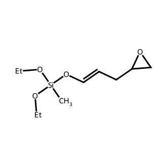 CCO[Si](C)(OC=CCC1CO1)OCC